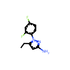 CCc1cc(N)nn1-c1ccc(F)cc1F